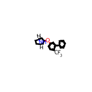 FC(F)(F)c1ccc(OC2C[C@H]3CC[C@@H](C2)N3)cc1-c1ccccc1